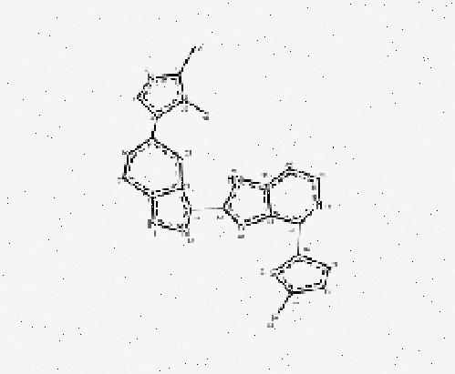 Cc1ncc(-c2ccc3[nH]nc(-c4nc5c(-c6ccc(F)s6)nccc5[nH]4)c3n2)n1C